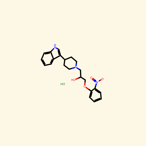 Cl.O=[N+]([O-])c1ccccc1OCC(O)CN1CCC(c2c[nH]c3ccccc23)CC1